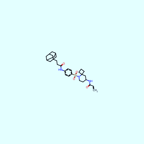 C=CC(=O)NC1CCN(S(=O)(=O)c2ccc(NC(=O)CCC34CC5CC(CC(C5)C3)C4)cc2)C2(CCC2)C1